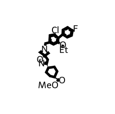 CCOc1cc(CN2CC3(CC([C@H]4CC[C@H](C(=O)OC)CC4)=NO3)C2)cc(Cl)c1-c1ccc(F)cc1